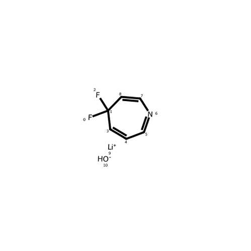 FC1(F)C=CC=NC=C1.[Li+].[OH-]